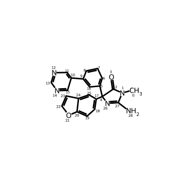 CN1C(=O)C(c2cccc(-c3cncnc3)c2)(c2ccc3occc3c2)N=C1N